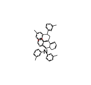 Cc1cccc(C(CC2=c3ccccc3=C(N(c3cccc(C)c3)c3cccc(C)c3)C3CC=CC=C23)c2cccc(C)c2)c1